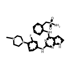 CN1CCN(c2ccc(Nc3nc(Nc4ccccc4CS(N)(=O)=O)c4cc[nH]c4n3)cc2F)CC1